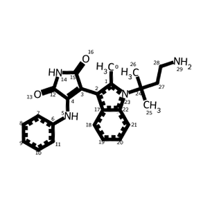 Cc1c(C2=C(Nc3ccccc3)C(=O)NC2=O)c2ccccc2n1C(C)(C)CCN